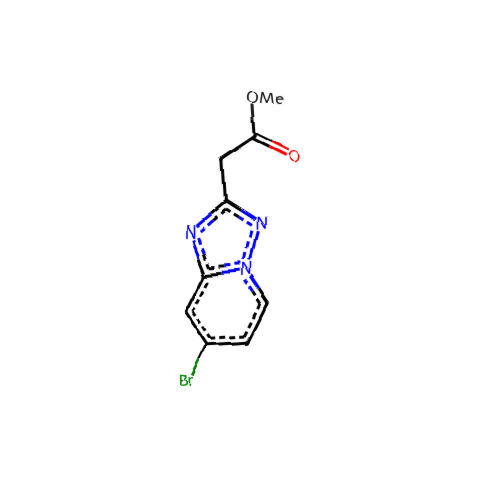 COC(=O)Cc1nc2cc(Br)ccn2n1